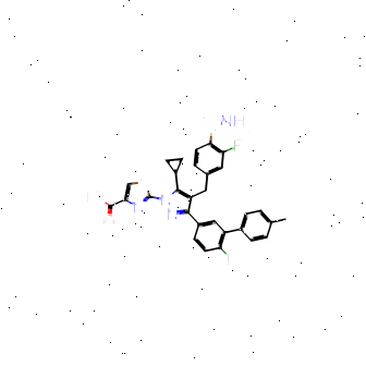 Cc1ccc(-c2cc(-c3nn(-c4nc(C(=O)O)cs4)c(C4CC4)c3Cc3ccc([S+](N)[O-])c(F)c3)ccc2F)cc1